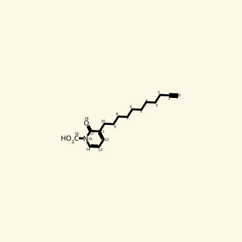 C#CCCCCCCCCCc1cccn(C(=O)O)c1=O